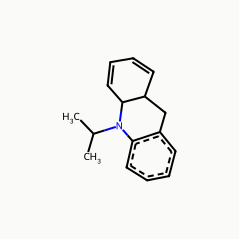 CC(C)N1c2ccccc2CC2C=CC=CC21